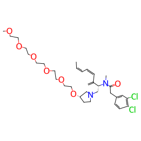 C=C(/C=C\C=C/C)[C@@H](CN1CC[C@H](OCCOCCOCCOCCOCCOC)C1)N(C)C(=O)Cc1ccc(Cl)c(Cl)c1